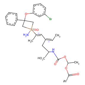 C/C=C(\C=C(/C)S1(N)(=O)CC(Oc2cccc(Br)c2)(c2ccccc2)C1)CC(NC(=O)OC(C)OC(=O)C(C)C)C(=O)O